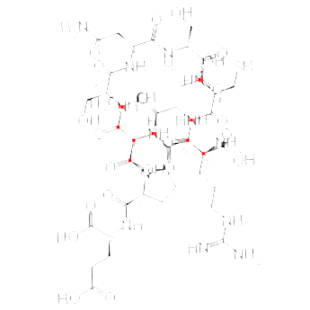 CC(C)C[C@H](NC(=O)[C@H](CC(=O)O)NC(=O)[C@H](CS)NC(=O)[C@H](CO)NC(=O)[C@H](CC(N)=O)NC(=O)[C@H](CO)NC(=O)[C@H](CO)NC(=O)[C@H](CC(=O)O)NC(=O)[C@@H](N)CCCNC(=N)N)C(=O)N1CCC[C@H]1C(=O)N[C@@H](CCC(=O)O)C(=O)O